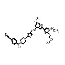 C=Nn1cc(-c2cc3c(OCc4csc(N5CCN([S+]([O-])c6ccc(C#N)cc6)CC5)n4)cc(OC)cc3o2)nc1SCOC